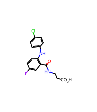 O=C(O)CCNC(=O)c1cc(I)ccc1Nc1ccc(Cl)cc1